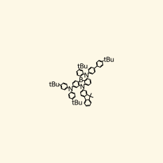 CC(C)(C)c1ccc(-c2ccc(N3c4cc(C(C)(C)C)ccc4B4c5ccc(N(c6ccc(C(C)(C)C)cc6)c6ccc(C(C)(C)C)cc6)cc5N(c5ccc6c(c5)C(C)(C)c5ccccc5-6)c5cccc3c54)cc2)cc1